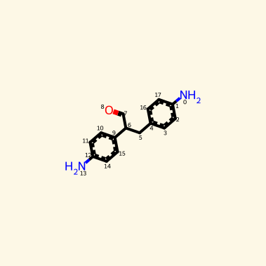 Nc1ccc(CC(C=O)c2ccc(N)cc2)cc1